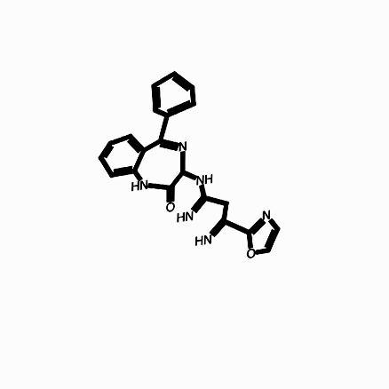 N=C(CC(=N)c1ncco1)NC1N=C(c2ccccc2)c2ccccc2NC1=O